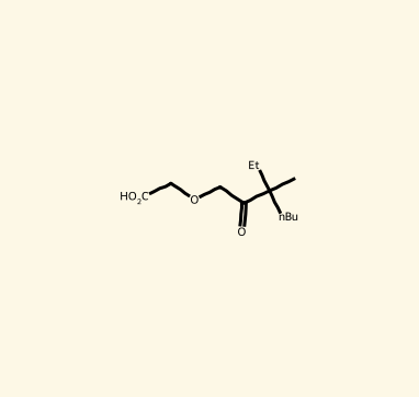 CCCCC(C)(CC)C(=O)COCC(=O)O